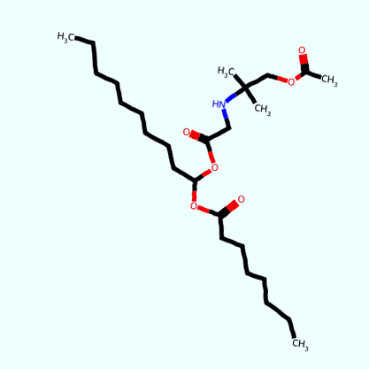 CCCCCCCCCC(OC(=O)CCCCCCC)OC(=O)CNC(C)(C)COC(C)=O